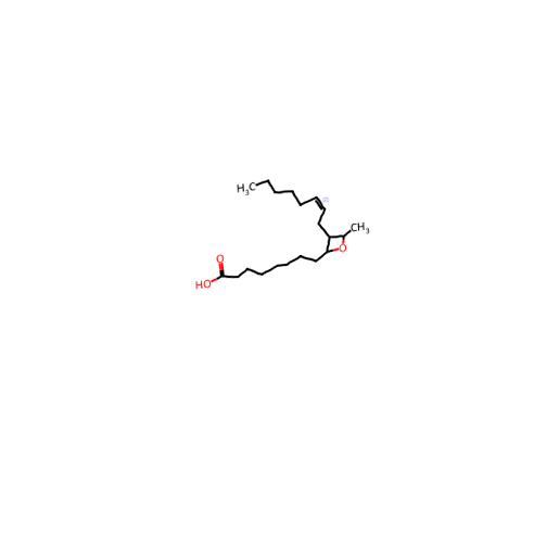 CCCCC/C=C\CC1C(C)OC1CCCCCCCC(=O)O